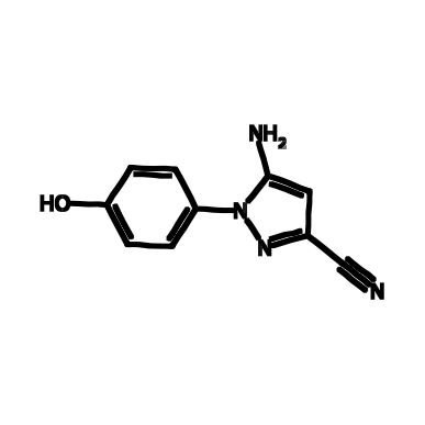 N#Cc1cc(N)n(-c2ccc(O)cc2)n1